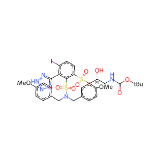 COc1ccc(CN(Cc2ccc(OC)cc2)S(=O)(=O)c2c(S(=O)(=O)C[C@H](O)CNC(=O)OC(C)(C)C)ccc(I)c2-c2nn[nH]n2)cc1